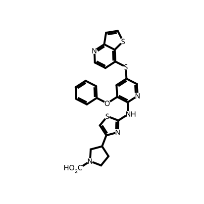 O=C(O)N1CCC(c2csc(Nc3ncc(Sc4ccnc5ccsc45)cc3Oc3ccccc3)n2)C1